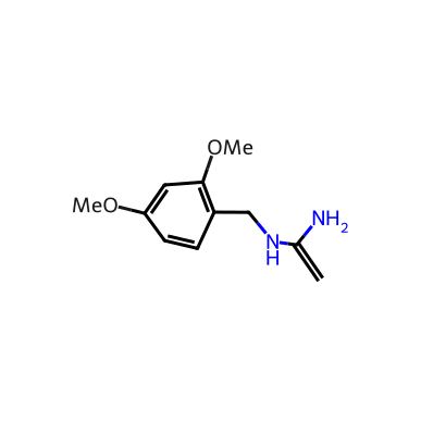 C=C(N)NCc1ccc(OC)cc1OC